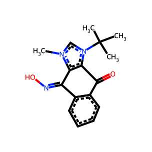 C[n+]1cn(C(C)(C)C)c2c1C(=NO)c1ccccc1C2=O